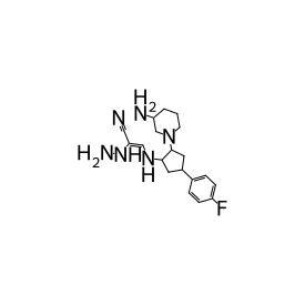 N#C/C(=C/NC1CC(c2ccc(F)cc2)CC1N1CCCC(N)C1)NN